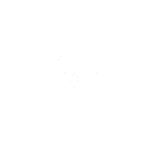 O=C(O)CCCNc1nc(NCCCC(=O)O)nc(NCCCC(=O)O)n1